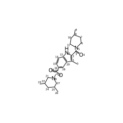 Cc1c(C(=O)N2CCC(C)CC2)[nH]c2ccc(S(=O)(=O)N3CC(C)CC(C)C3)cc12